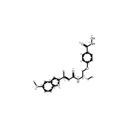 CC[C@@H](COc1ccc(C(=O)NO)cc1)NC(=O)/C=C(\C)c1cc2cc(OC)ccc2o1